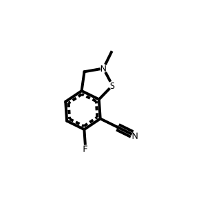 CN1Cc2ccc(F)c(C#N)c2S1